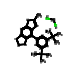 CC1=Cc2c(cc3c(c2-c2cc(C(C)(C)C)cc(C(C)(C)C)c2)CCC3)[CH]1.[Cl][Ti][Cl]